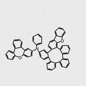 c1ccc(N(c2ccc3c(c2)-c2ccccc2-c2ccccc2O3)c2ccc3c4ccccc4c4ccccc4c4ccccc4c4c(ccc5c6ccccc6oc54)c3c2)cc1